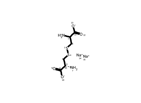 NC(CSSC[C@H](N)C(=O)[O-])C(=O)[O-].[Na+].[Na+]